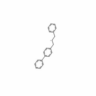 [CH](Cc1ccccc1)Cc1ccc(-c2ccccc2)cc1